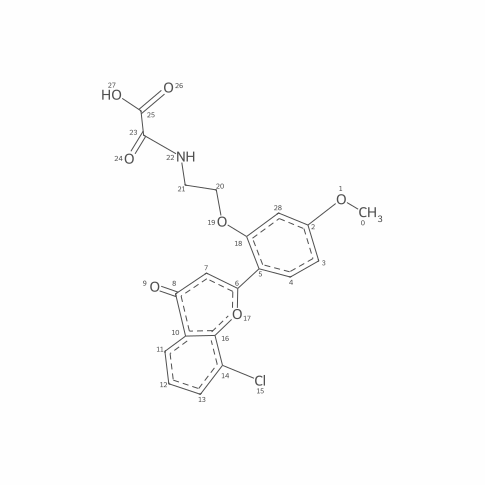 COc1ccc(-c2cc(=O)c3cccc(Cl)c3o2)c(OCCNC(=O)C(=O)O)c1